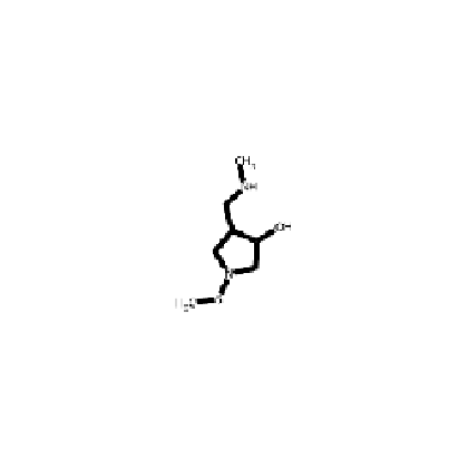 CNCC1CN(SC)CC1O